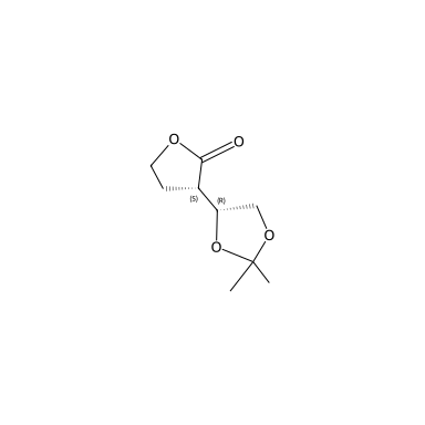 CC1(C)OC[C@@H]([C@@H]2CCOC2=O)O1